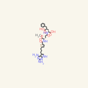 COC(=O)[C@H](CCC(=O)N[C@@H](CC(Cc1ccccc1)C(=O)O)C(=O)O)NC(=O)c1ccc(CCCc2c[nH]c3nc(N)nc(N)c23)s1